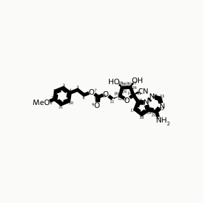 COc1ccc(CCOC(=O)OC[C@H]2O[C@@](C#N)(c3ccc4c(N)ncnn34)[C@H](O)[C@@H]2O)cc1